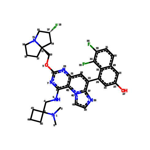 CN(C)C1(CNc2nc(OC[C@@]34CCCN3C[C@H](F)C4)nc3cc(-c4cc(O)cc5ccc(F)c(F)c45)c4nccn4c23)CCC1